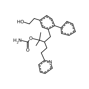 CC(C)(OC(N)=O)C(CCc1ccccn1)Cc1cc(CCO)ccc1-c1ccccc1